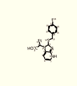 CCC(C(=O)O)N1C2=CC=CNC2=NC1SCc1ccc(F)cc1